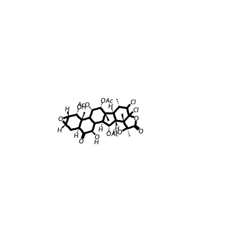 CC(=O)O[C@H]1[C@@H]2[C@H]([C@H](C)C(Cl)C3(Cl)OC(=O)[C@@](C)(O)[C@]23C)[C@]2(C)[C@@H]1C1C([C@H](OC(C)=O)[C@@H]2OC(C)=O)[C@]2(C)[C@H](C[C@@H]3O[C@@H]3[C@@H]2O)C(=O)[C@@H]1O